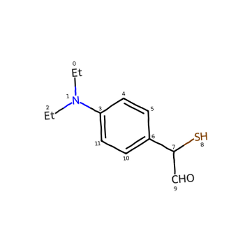 CCN(CC)c1ccc(C(S)C=O)cc1